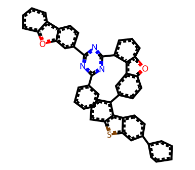 c1ccc(-c2ccc3c(c2)sc2cccc(-c4ccc5oc6cccc(-c7nc(-c8ccccc8)nc(-c8ccc9c(c8)oc8ccccc89)n7)c6c5c4)c23)cc1